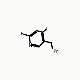 C[C](C)Cc1cnc(F)cc1I